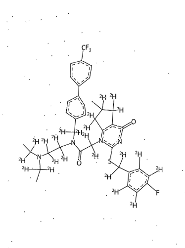 [2H]c1c([2H])c(C([2H])([2H])Sc2nc(=O)c3c(n2C([2H])([2H])C(=O)N(C([2H])([2H])c2ccc(-c4ccc(C(F)(F)F)cc4)cc2)C([2H])([2H])C([2H])([2H])N(C([2H])([2H])C)C([2H])([2H])C)C([2H])([2H])C([2H])(C)C3([2H])[2H])c([2H])c([2H])c1F